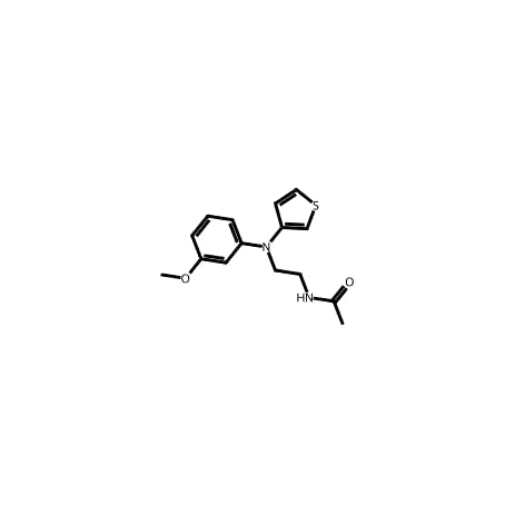 COc1cccc(N(CCNC(C)=O)c2ccsc2)c1